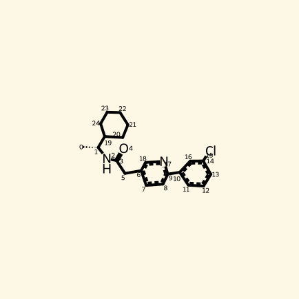 C[C@@H](NC(=O)Cc1ccc(-c2cccc(Cl)c2)nc1)C1CCCCC1